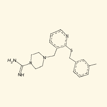 Cc1cccc(CSc2ncccc2CN2CCN(C(=N)N)CC2)c1